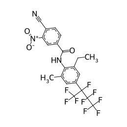 CCc1cc(C(F)(C(F)(F)F)C(F)(F)C(F)(F)F)cc(C)c1NC(=O)c1ccc(C#N)c([N+](=O)[O-])c1